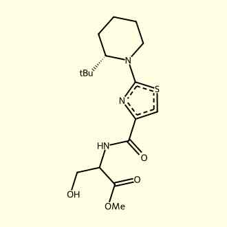 COC(=O)C(CO)NC(=O)c1csc(N2CCCC[C@H]2C(C)(C)C)n1